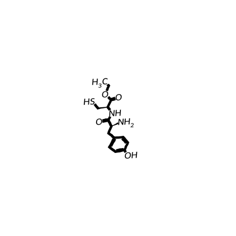 CCOC(=O)[C@H](CS)NC(=O)[C@@H](N)Cc1ccc(O)cc1